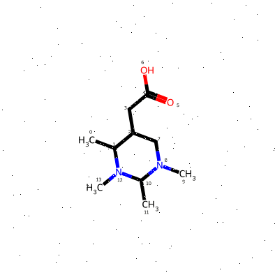 CC1C(CC(=O)O)CN(C)C(C)N1C